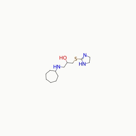 OC(CNC1CCCCCC1)CSC1=NCCN1